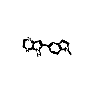 Cn1ccc2cc(-c3cc4nccnc4[nH]3)ccc21